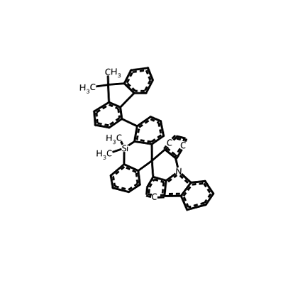 CC1(C)c2ccccc2-c2c(-c3cccc4c3[Si](C)(C)c3ccccc3C43c4ccccc4-n4c5ccccc5c5cccc3c54)cccc21